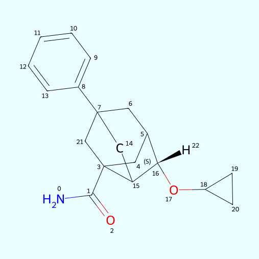 NC(=O)C12CC3CC(c4ccccc4)(CC1[C@H]3OC1CC1)C2